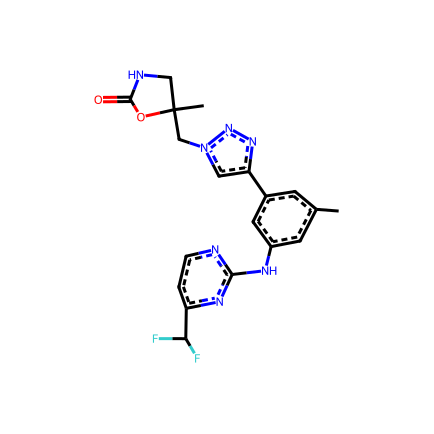 Cc1cc(Nc2nccc(C(F)F)n2)cc(-c2cn(CC3(C)CNC(=O)O3)nn2)c1